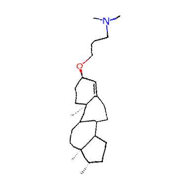 C[C@H]1CCC2C3CCC4=C[C@H](OCCCN(C)C)CC[C@]4(C)C3CC[C@@]21C